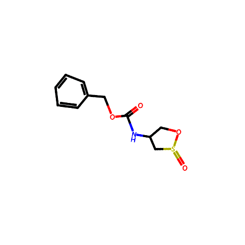 O=C(NC1COS(=O)C1)OCc1ccccc1